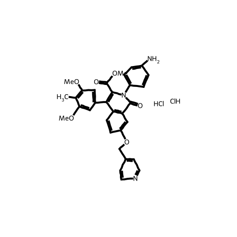 COC(=O)c1c(-c2cc(OC)c(C)c(OC)c2)c2ccc(OCc3ccncc3)cc2c(=O)n1-c1ccc(N)cc1.Cl.Cl